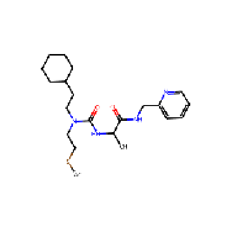 CC(=O)SCCN(CCC1CCCCC1)C(=O)NC(C)C(=O)NCc1ccccn1